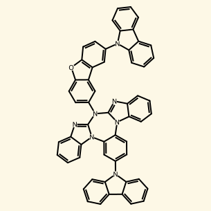 c1ccc2c(c1)nc1n(-c3ccc4oc5ccc(-n6c7ccccc7c7ccccc76)cc5c4c3)c3nc4ccccc4n3c3cc(-n4c5ccccc5c5ccccc54)ccc3n21